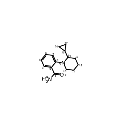 NC(=O)c1ccccc1N1CCCCC1C1CC1